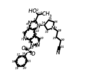 CC(O)c1nc2cnc3c(cnn3S(=O)(=O)c3ccccc3)c2n1[C@H]1CCN(CCCC#N)C1